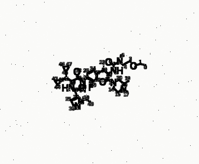 CCOCCN(C)C(=O)N[C@@H](C(=O)N1CCN(C)[C@H](C)C1)[C@@H](C)c1ccc(NC(=O)[C@@H](NC(=O)c2ccnn2CC)C(C2CC2)C2CC2)c(F)c1